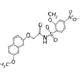 COc1ccc2ccc(OCC(=O)NS(=O)(=O)c3ccc([N+](=O)[O-])cc3OC)cc2c1